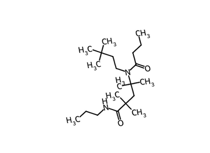 CCCNC(=O)C(C)(C)CC(C)(C)N(CCC(C)(C)C)C(=O)CCC